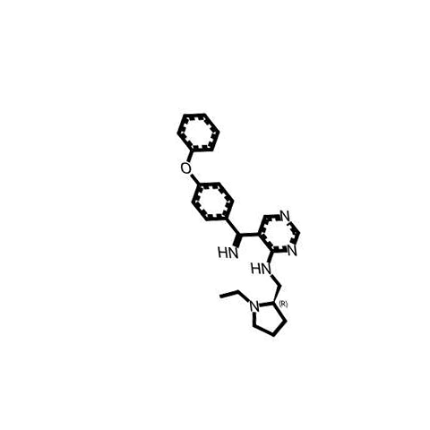 CCN1CCC[C@@H]1CNc1ncncc1C(=N)c1ccc(Oc2ccccc2)cc1